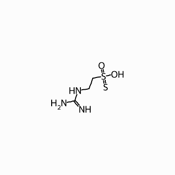 N=C(N)NCCS(=O)(O)=S